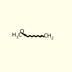 C=CC=CCCCCCCC#CC(C)=O